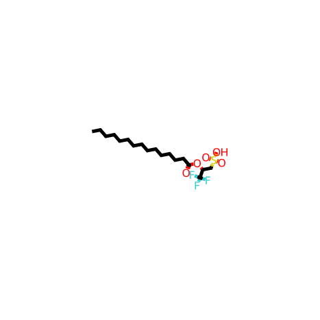 CCCCCCCCCCCCCCC(=O)OC(CS(=O)(=O)O)C(F)(F)F